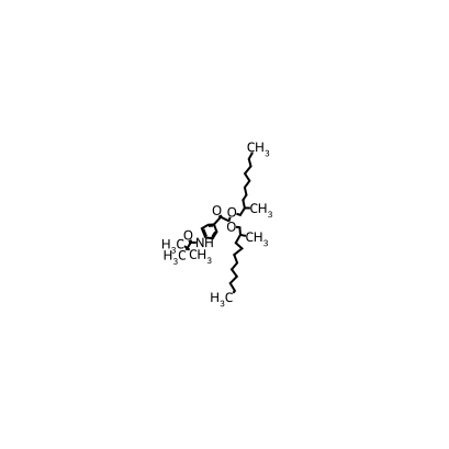 CCCCCCCCCC(C)COC(OCC(C)CCCCCCCCC)C(=O)c1ccc(NC(=O)C(C)(C)C)cc1